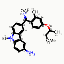 CCn1c2ccc(N)cc2c2cc(/C(=N/OC(C)=O)c3ccc(OC(C)COC)cc3C)ccc21